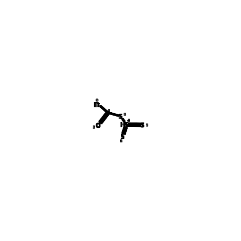 CCC(=O)S[SH](=S)=S